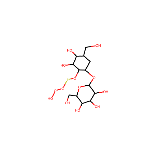 OCC1CC(OC2OC(CO)C(O)C(O)C2O)C(OSOOO)C(O)C1O